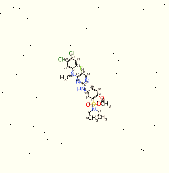 CCN(CC)S(=O)(=O)c1cc(Nc2ncc(F)c(N(C)c3ccc(Cl)c(Cl)c3)n2)ccc1OC